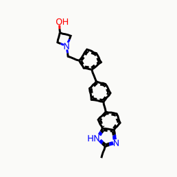 Cc1nc2ccc(-c3ccc(-c4cccc(CN5CC(O)C5)c4)cc3)cc2[nH]1